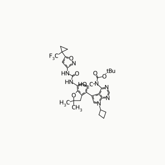 CC(C)(C)OC(=O)N(C(=O)O)c1ncnc2c1c(-c1ccc(NC(=O)Nc3cc(C4(C(F)(F)F)CC4)on3)c3c1CC(C)(C)O3)cn2C1CCC1